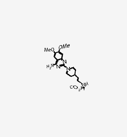 COc1cc2nc(N3CCC(CCNC(=O)O)CC3)nc(N)c2cc1OC